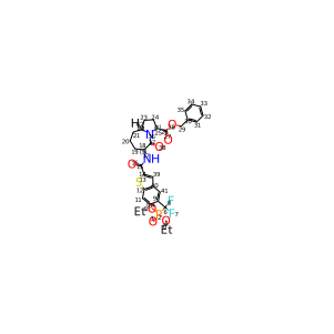 CCOP(=O)(OCC)C(F)(F)c1ccc2sc(C(=O)N[C@H]3CCC[C@H]4CC[C@@H](C(=O)OCc5ccccc5)N4C3=O)cc2c1